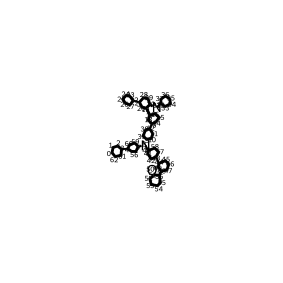 c1ccc(-c2ccc(N(c3ccc(-c4ccc5c(c4)c4cc(-c6ccccc6)ccc4n5-c4ccccc4)cc3)c3ccc(-c4cccc5c4oc4ccccc45)cc3)cc2)cc1